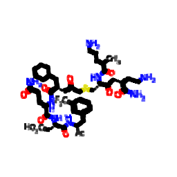 CC(=O)[C@H](Cc1cccc(C(F)(F)F)c1)NC(=O)[C@H](CC(=O)O)NC(=O)C(CCC(N)=O)NC(=O)[C@@H](CC(=O)CSC[C@H](NC(=O)C(C)CCCN)C(=O)C[C@@H](CCN)C(N)=O)CC1CCCCC1